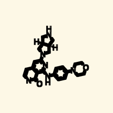 O=C1[N]C=Cc2cc(N3C[C@@H]4CNC[C@H]4C3)nc(Nc3ccc(N4CCOCC4)cc3)c21